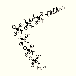 [Fe+2].[Fe+2].[Fe+2].[Fe+2].[Fe+2].[Fe+2].[O]=[Sb]([O-])([O-])[F].[O]=[Sb]([O-])([O-])[F].[O]=[Sb]([O-])([O-])[F].[O]=[Sb]([O-])([O-])[F].[O]=[Sb]([O-])([O-])[F].[O]=[Sb]([O-])([O-])[F]